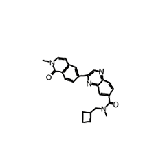 CN(CC1CCC1)C(=O)c1ccc2ncc(-c3ccc4c(=O)n(C)ccc4c3)nc2c1